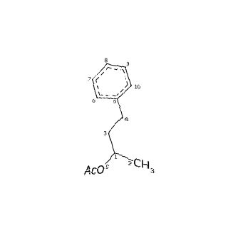 CC(=O)OC(C)CCc1ccccc1